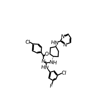 O=C(/N=C(/Nc1cc(F)cc(Cl)c1)N[C@H]1CC[C@H](Nc2ncccn2)CC1)c1ccc(Cl)cc1